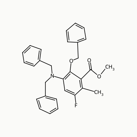 COC(=O)c1c(C)c(F)cc(N(Cc2ccccc2)Cc2ccccc2)c1OCc1ccccc1